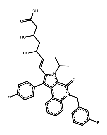 CC(C)n1c(C=CC(O)CC(O)CC(=O)O)c(-c2ccc(F)cc2)c2c3ccccc3n(Cc3cccc(F)c3)c(=O)c21